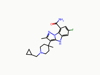 Cc1nn2c([nH]c3cc(F)cc(C(N)=O)c32)c1C1(C)CCN(CC2CC2)CC1